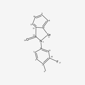 Cc1ccc(-n2[se]c3ccccc3c2=O)cc1F